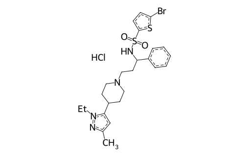 CCn1nc(C)cc1C1CCN(CCC(NS(=O)(=O)c2ccc(Br)s2)c2ccccc2)CC1.Cl